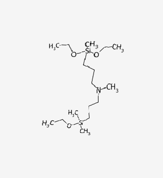 CCO[Si](C)(C)CCCN(C)CCC[Si](C)(OCC)OCC